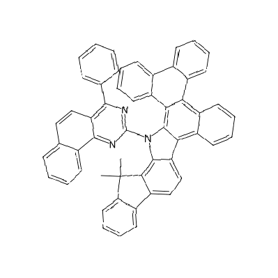 CC1(C)c2ccccc2-c2ccc3c4c5ccccc5c5c6ccccc6c6ccccc6c5c4n(-c4nc(-c5ccccc5)c5ccc6ccccc6c5n4)c3c21